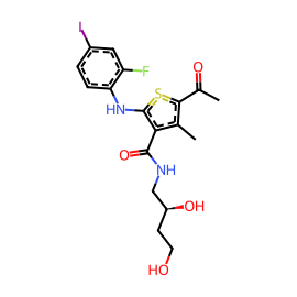 CC(=O)c1sc(Nc2ccc(I)cc2F)c(C(=O)NC[C@@H](O)CCO)c1C